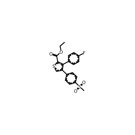 CCOC(=O)c1scc(-c2ccc(S(C)(=O)=O)cc2)c1-c1ccc(F)cc1